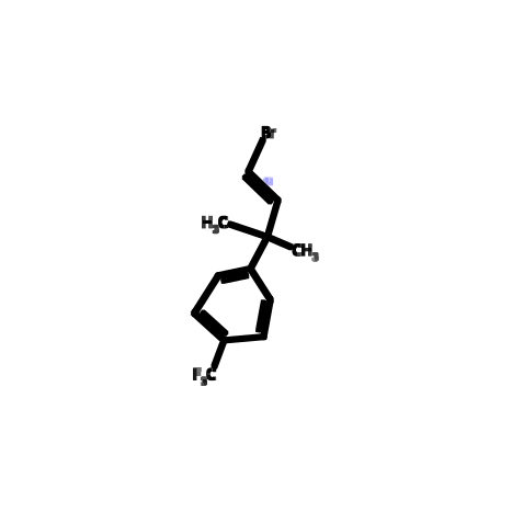 CC(C)(/C=C/Br)c1ccc(C(F)(F)F)cc1